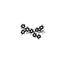 CC1c2c(n(-c3ccccc3)c3ccccc23)C=CC1c1ccc(N(c2cccc(-c3ccccc3)c2)c2ccc3c(c2)C(C)(C)c2ccccc2-3)cc1